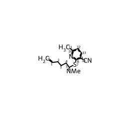 C=CCCCC(NC)Sc1nc(C)ccc1C#N